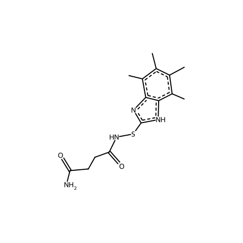 Cc1c(C)c(C)c2[nH]c(SNC(=O)CCC(N)=O)nc2c1C